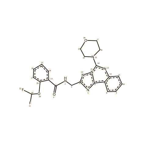 O=C(NCc1nc2c3ccccc3nc(N3CCOCC3)n2n1)c1ccccc1OC(F)F